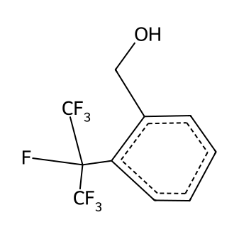 OCc1ccccc1C(F)(C(F)(F)F)C(F)(F)F